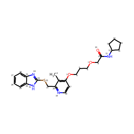 Cc1c(OCCCOCC(=O)NC2CCCC2)ccnc1CSc1nc2ccccc2[nH]1